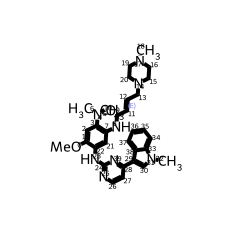 COc1cc(N(C)C)c(NC(=O)/C=C/CN2CCN(C)CC2)cc1Nc1nccc(-c2cn(C)c3ccccc23)n1